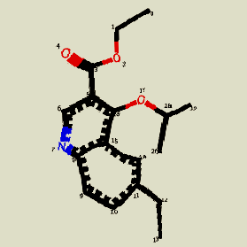 CCOC(=O)c1cnc2ccc(CC)cc2c1OC(C)C